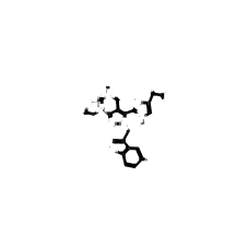 CC(C)Cn1c(=O)n(C)c(=O)c2c(-c3nc(C(=O)C(C)C)cn3C)n(Cc3c[nH]c4ccc(Cl)cc34)nc21